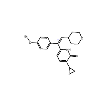 CCOc1ccc(/C(=C/C2CCOCC2)c2ccc(C3CC3)c(=O)[nH]2)cc1